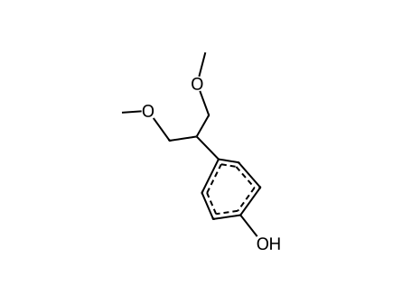 COCC(COC)c1ccc(O)cc1